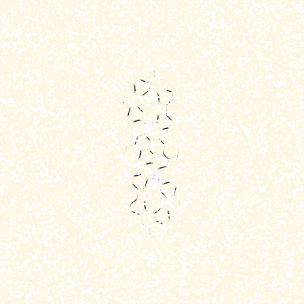 CC(C)c1ccc(N(c2cc(C(C)C)c3ccc4c(N(c5ccc(C(C)C)cc5)c5cccc6c5oc5c(-c7ccccc7C(C)C)cccc56)cc(C(C)C)c5ccc2c3c54)c2cccc3c2oc2c(-c4ccccc4C(C)C)cccc23)cc1